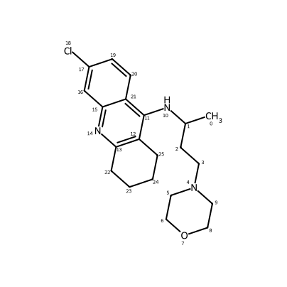 CC(CCN1CCOCC1)Nc1c2c(nc3cc(Cl)ccc13)CCCC2